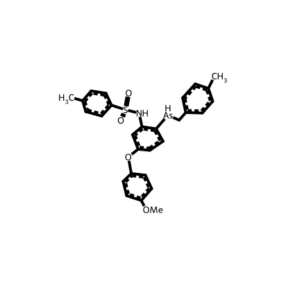 COc1ccc(Oc2ccc([AsH]Cc3ccc(C)cc3)c(NS(=O)(=O)c3ccc(C)cc3)c2)cc1